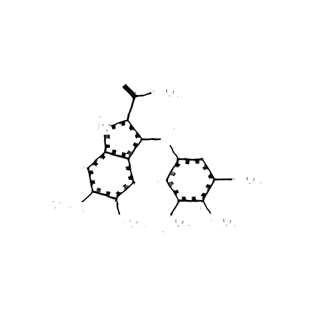 COC(=O)c1[nH]c2cc(OC)c(OC)cc2c1Sc1cc(OC)c(OC)c(OC)c1